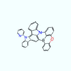 c1ccc(-n2c3ccccc3c3cc4c5c(c6ccccc6n5-c5cccc6c5B4c4ccccc4O6)c32)nc1